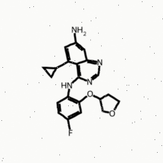 Nc1cc(C2CC2)c2c(Nc3ccc(F)cc3OC3CCOC3)ncnc2c1